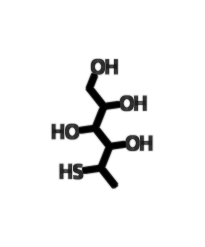 CC(S)C(O)C(O)C(O)CO